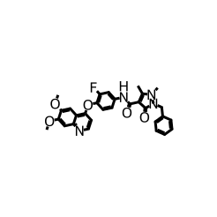 COc1cc2nccc(Oc3ccc(NC(=O)c4c(C)n(C)n(Cc5ccccc5)c4=O)cc3F)c2cc1OC